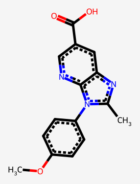 COc1ccc(-n2c(C)nc3cc(C(=O)O)cnc32)cc1